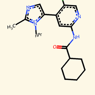 CCCn1c(-c2cc(NC(=O)C3CCCCC3)ncc2Cl)cnc1C